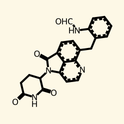 O=CNc1ccccc1Cc1ccc2c3c(ccnc13)N(C1CCC(=O)NC1=O)C2=O